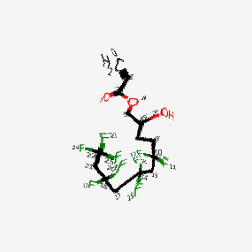 C=CC(=O)OCC(O)CCC(F)(F)CC(F)(F)CC(F)(F)CC(F)(F)F